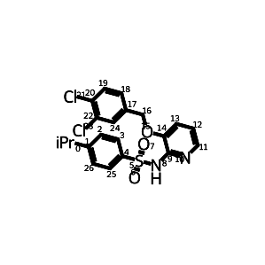 CC(C)c1ccc(S(=O)(=O)Nc2ncccc2OCc2ccc(Cl)c(Cl)c2)cc1